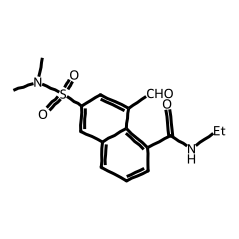 CCNC(=O)c1cccc2cc(S(=O)(=O)N(C)C)cc(C=O)c12